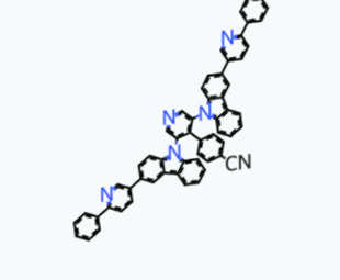 N#Cc1ccc(-c2c(-n3c4ccccc4c4cc(-c5ccc(-c6ccccc6)nc5)ccc43)cncc2-n2c3ccccc3c3cc(-c4ccc(-c5ccccc5)nc4)ccc32)cc1